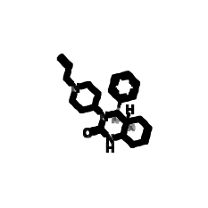 C=CCN1CCC(N2C(=O)NC3CC=CC[C@@H]3[C@H]2c2ccccc2)CC1